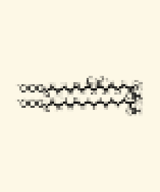 CCC(O)CCCCCCCCCCCCCCC(=O)[O-].CCC(O)CCCCCCCCCCCCCCC(=O)[O-].[Ca+2]